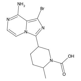 CC1CCC(c2nc(Br)c3c(N)nccn23)CN1C(=O)O